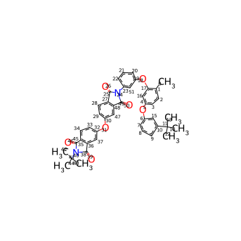 Cc1ccc(Oc2cccc(C(C)(C)C)c2)cc1Oc1cccc(N2C(=O)c3ccc(Oc4ccc5c(c4)C(=O)N(C(C)(C)C)C5=O)cc3C2=O)c1